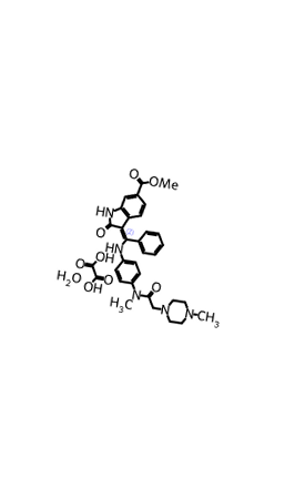 COC(=O)c1ccc2c(c1)NC(=O)/C2=C(\Nc1ccc(N(C)C(=O)CN2CCN(C)CC2)cc1)c1ccccc1.O.O=C(O)C(=O)O